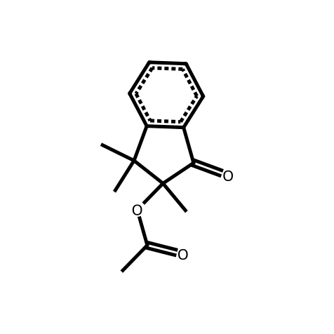 CC(=O)OC1(C)C(=O)c2ccccc2C1(C)C